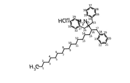 CCCCCCCCCCCCCCCCC(Cc1ccccc1)C(N)(Cc1ccccc1)Cc1ccccc1.Cl